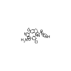 COc1cc2c(cc1-c1cncc(C(N)=O)c1)-c1c(c(C(=O)N3CC4CC3CN4)nn1-c1cc(Cl)cc(Cl)c1)CC2